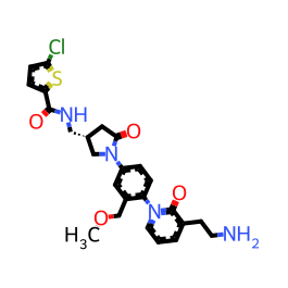 COCc1cc(N2C[C@H](CNC(=O)c3ccc(Cl)s3)CC2=O)ccc1-n1cccc(CCN)c1=O